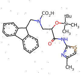 Cc1csc(NC(=O)C(CN(CC2c3ccccc3-c3ccccc32)C(=O)O)O[Si](C)(C)C(C)(C)C)n1